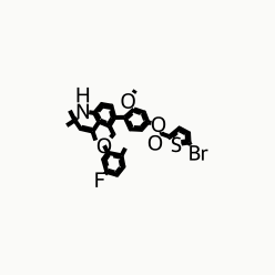 COc1cc(OC(=O)c2ccc(Br)s2)ccc1-c1ccc2c(c1COc1cc(F)ccc1C)C(C)=CC(C)(C)N2